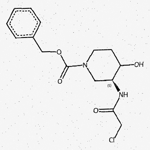 O=C(CCl)N[C@H]1CN(C(=O)OCc2ccccc2)CCC1O